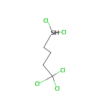 Cl[SiH](Cl)CCCC(Cl)(Cl)Cl